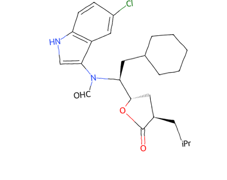 CC(C)C[C@@H]1C[C@@H]([C@H](CC2CCCCC2)N(C=O)c2c[nH]c3ccc(Cl)cc23)OC1=O